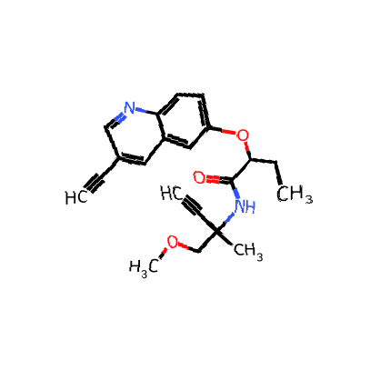 C#Cc1cnc2ccc(OC(CC)C(=O)NC(C)(C#C)COC)cc2c1